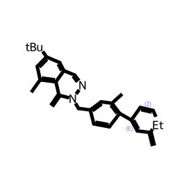 C=C(/C=C(\C=C/C)c1ccc(CN2N=Cc3cc(C(C)(C)C)cc(C)c3C2=C)cc1C)CC